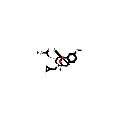 COc1ccc2c(c1)[C@]13CCN(CC4CC4)[C@H](C2)C1=C[C@H](CC(N)=O)C(=O)C3